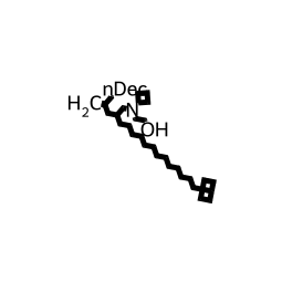 C=C(CCCCCCCCCCC)CC(CCCCCCCCCCCCCC12CCC1CC2)CN(CCO)C1CCC1